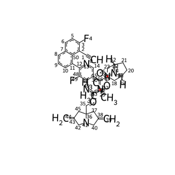 C#Cc1c(F)ccc2cccc(-c3ncc4c(N5C[C@H]6CC[C@@H](C5)N6C(=O)OC(C)(C)C)nc(OCC56CC(=C)CN5CC(=C)C6)nc4c3F)c12